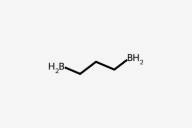 BCCCB